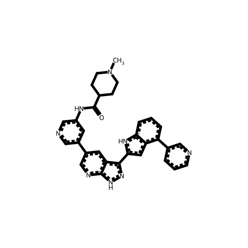 CN1CCC(C(=O)Nc2cncc(-c3cnc4[nH]nc(-c5cc6c(-c7cccnc7)cccc6[nH]5)c4c3)c2)CC1